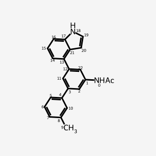 CC(=O)Nc1cc(-c2cccc(C)c2)cc(-c2cccc3[nH]ccc23)c1